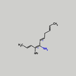 CC=CC/C=C/C(N)=C(\C=CC)CCC